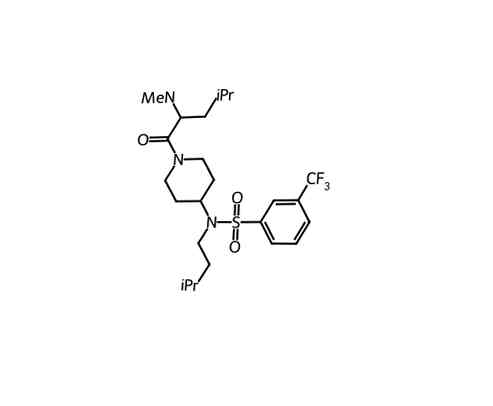 CNC(CC(C)C)C(=O)N1CCC(N(CCC(C)C)S(=O)(=O)c2cccc(C(F)(F)F)c2)CC1